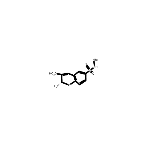 CC(C)(C)NS(=O)(=O)c1ccc2c(c1)C=C(C(=O)O)[C@@H](C(F)(F)F)O2